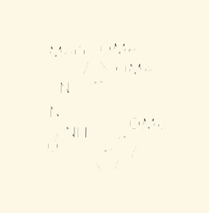 COc1ccc2cccc(CCNC(=O)C(C)N3CCN(Cc4ccc(OC)c(OC)c4OC)CC3)c2c1